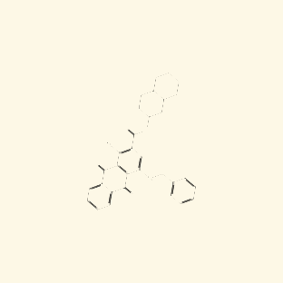 Nc1c(C(=O)OC2CCC3CCCCC3C2)cc(NCc2ccccc2)c2c1C(=O)c1ccccc1C2=O